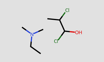 CC(Cl)C(O)Cl.CCN(C)C